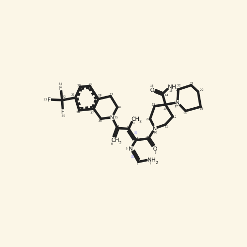 C=C(/C(C)=C(\N=C/N)C(=O)N1CCC(C(N)=O)(N2CCCCC2)CC1)N1CCc2ccc(C(F)(F)F)cc2C1